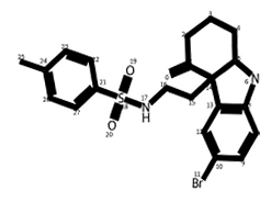 C=C1CCCC2Nc3ccc(Br)cc3C12CCNS(=O)(=O)c1ccc(C)cc1